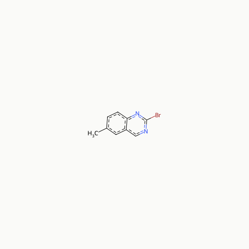 Cc1ccc2nc(Br)ncc2c1